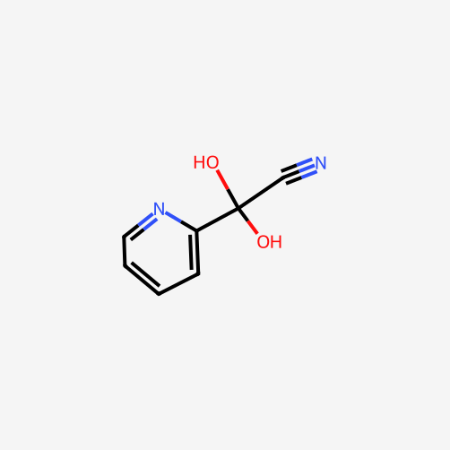 N#CC(O)(O)c1ccccn1